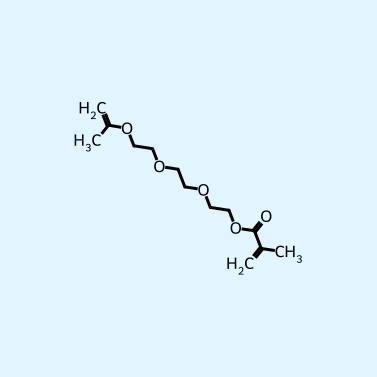 C=C(C)OCCOCCOCCOC(=O)C(=C)C